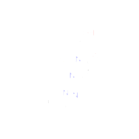 Cc1sc2nc(Cn3ccc(C(F)(F)F)n3)cc(=O)n2c1C(C)(C)O